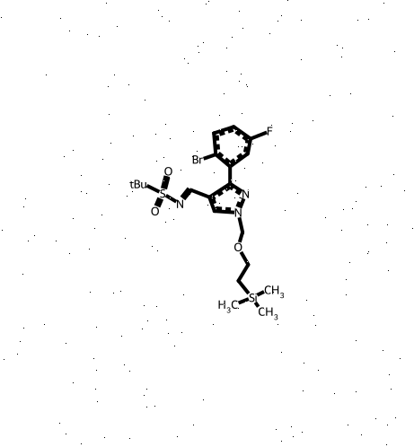 CC(C)(C)S(=O)(=O)N=Cc1cn(COCC[Si](C)(C)C)nc1-c1cc(F)ccc1Br